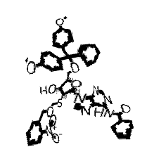 COc1ccc(C(OC[C@H]2O[C@@H](n3cnc4c(NC(=O)c5ccccc5)ncnc43)[C@@H](SCOCc3ccccc3[N+](=O)[O-])[C@@H]2O)(c2ccccc2)c2ccc(OC)cc2)cc1